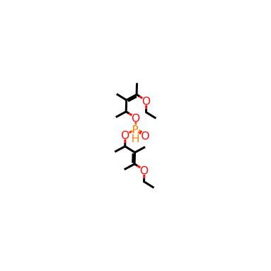 CCOC(C)=C(C)C(C)O[PH](=O)OC(C)C(C)=C(C)OCC